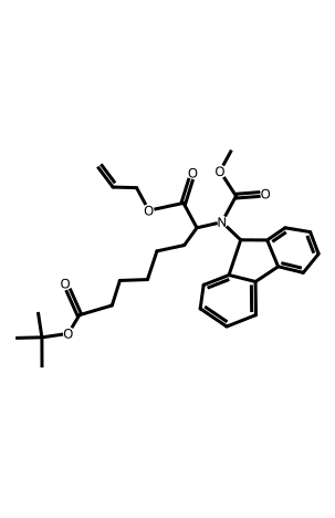 C=CCOC(=O)C(CCCCCC(=O)OC(C)(C)C)N(C(=O)OC)C1c2ccccc2-c2ccccc21